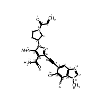 C=CC(=O)N1CC[C@H](n2nc(C#Cc3cc4ncn(C)c4c(F)c3Cl)c(C(N)=O)c2NC)C1